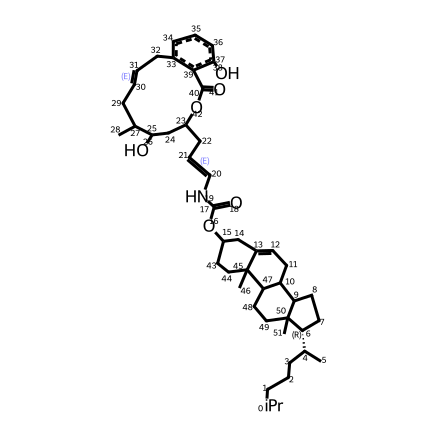 CC(C)CCCC(C)[C@H]1CCC2C3CC=C4CC(OC(=O)N/C=C/CC5CC(O)C(C)C/C=C/Cc6cccc(O)c6C(=O)O5)CCC4(C)C3CCC21C